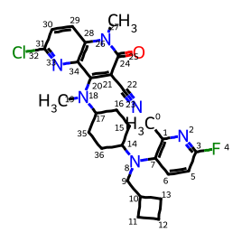 Cc1nc(F)ccc1N(CC1CCC1)C1CCC(N(C)c2c(C#N)c(=O)n(C)c3ccc(Cl)nc23)CC1